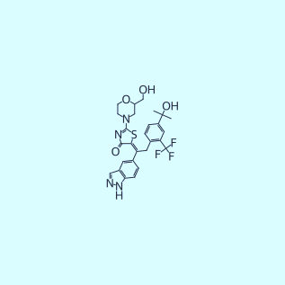 CC(C)(O)c1ccc(CC(=C2SC(N3CCOC(CO)C3)=NC2=O)c2ccc3[nH]ncc3c2)c(C(F)(F)F)c1